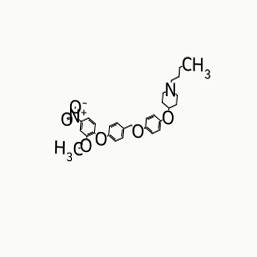 CCCCN1CCC(Oc2ccc(OCc3ccc(Oc4ccc([N+](=O)[O-])cc4OC)cc3)cc2)CC1